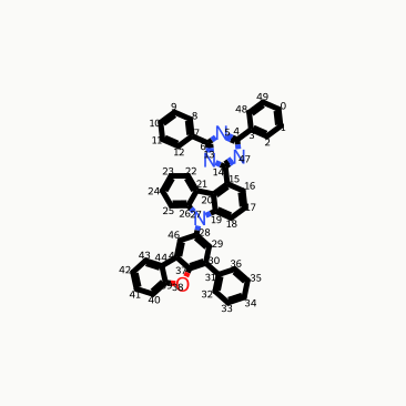 c1ccc(-c2nc(-c3ccccc3)nc(-c3cccc4c3c3ccccc3n4-c3cc(-c4ccccc4)c4oc5ccccc5c4c3)n2)cc1